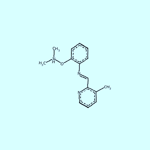 Cc1cccnc1C=Nc1ccccc1O[SiH](C)C